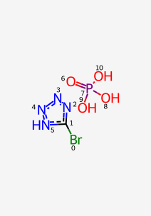 Brc1nnn[nH]1.O=P(O)(O)O